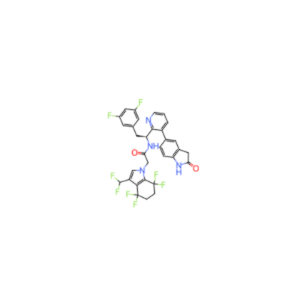 O=C1Cc2cc(-c3cccnc3[C@H](Cc3cc(F)cc(F)c3)NC(=O)Cn3cc(C(F)F)c4c3C(F)(F)CCC4(F)F)ccc2N1